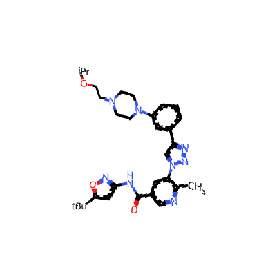 Cc1ncc(C(=O)Nc2cc(C(C)(C)C)on2)cc1-n1cc(-c2cccc(N3CCN(CCOC(C)C)CC3)c2)nn1